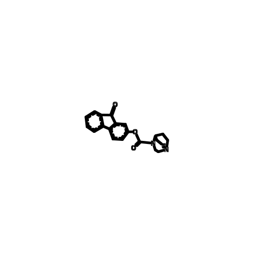 O=C1c2ccccc2-c2ccc(OC(=O)N3CCN4CCC3CC4)cc21